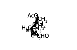 CC(=O)OCC(C)SSCC(C)(N)OCCC(C)(C)NC(=O)CN(C)C(=O)CCC=O